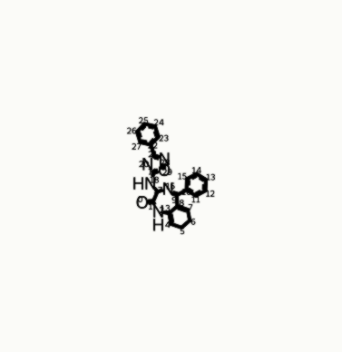 O=C1NC2=CCCC=C2C(c2ccccc2)=NC1Nc1nc(-c2ccccc2)no1